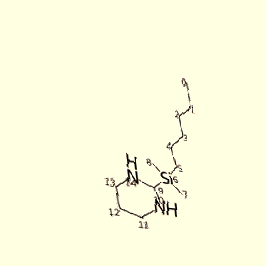 CCCCCC[Si](C)(C)C1NCCCN1